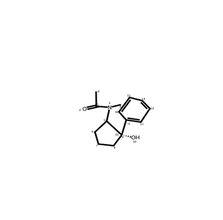 CC(=O)N(C)C1CCC[C@]1(O)c1ccccc1